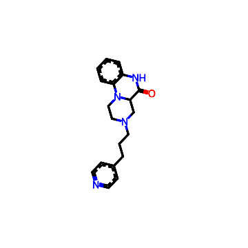 O=C1Nc2ccccc2N2CCN(CCCc3ccncc3)CC12